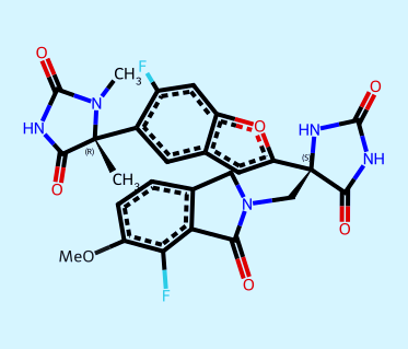 COc1ccc2c(c1F)C(=O)N(C[C@@]1(c3cc4cc([C@]5(C)C(=O)NC(=O)N5C)c(F)cc4o3)NC(=O)NC1=O)C2